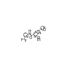 CCOc1nc(C(=O)Nc2cccc(C(F)F)n2)cn2cc([C@]34CC[C@](C)(C3)OC4)nc12